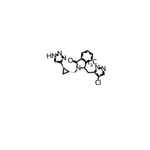 Cn1ncc(Cl)c1CC1c2ccccc2C(=O)N1C[C@@H]1C[C@H]1c1c[nH]nn1